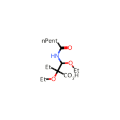 CCCCCC(=O)NC(OCC)C(CC)(OCC)C(=O)O